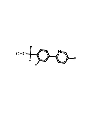 O=CC(F)(F)c1ccc(-c2ccc(F)cn2)cc1F